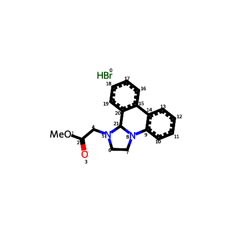 Br.COC(=O)CN1CCN2c3ccccc3-c3ccccc3C12